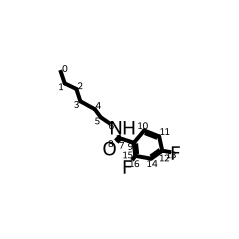 CCCCCCNC(=O)c1ccc(F)cc1F